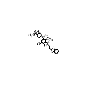 CCN(c1cc(Cl)cc(C(=O)NCCc2nc3ccccc3s2)c1C)C1CCC(N(C)C)CC1